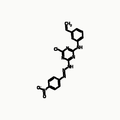 C=Cc1cccc(Nc2nc(Cl)nc(NN=Nc3ccc([N+](=O)[O-])cc3)n2)c1